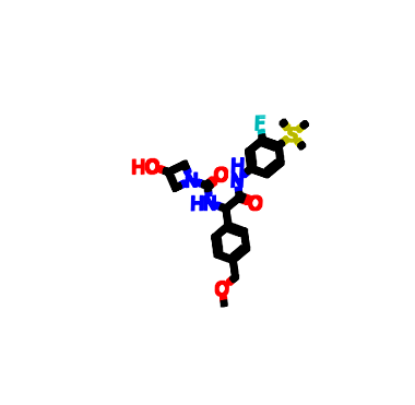 COCc1ccc(C(NC(=O)N2CC(O)C2)C(=O)Nc2ccc(S(C)(C)C)c(F)c2)cc1